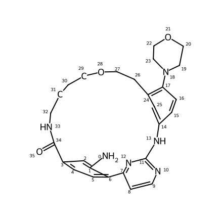 Nc1cc2ccc1-c1ccnc(n1)Nc1ccc(N3CCOCC3)c(c1)CCOCCCCNC2=O